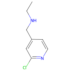 CCNCc1ccnc(Cl)c1